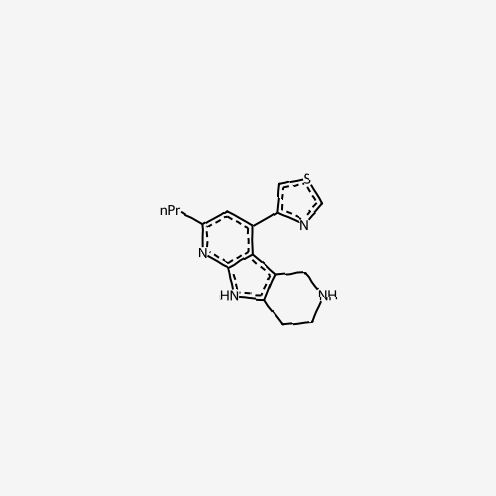 CCCc1cc(-c2cscn2)c2c3c([nH]c2n1)CCNC3